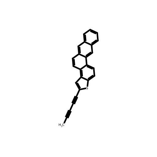 CC#CC#Cc1cc2c(ccc3c4cc5ccccc5cc4ccc23)s1